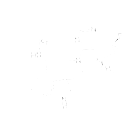 CC(C)NCc1cccc2c1C1(CCN(c3ncnc4c3[C@H](C)C[C@@H]4F)CC1)CN2